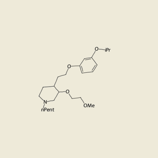 CCCCCN1CCC(CCOc2cccc(OC(C)C)c2)C(OCCOC)C1